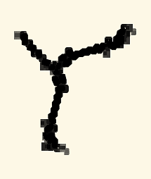 C#CCOCCOCCOCCNc1nc(N2CCN(C(=O)CCCCCCCCCCNC(=O)Cn3cc(C[C@@H](C)O)nn3)CC2)nc(N2CCN(C(=O)CCCCCCCCCCNC(=O)Cn3cc(C[C@@H](C)O)nn3)CC2)n1